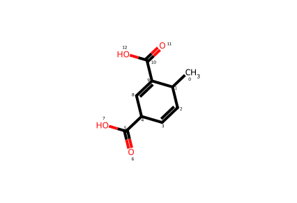 CC1C=CC(C(=O)O)C=C1C(=O)O